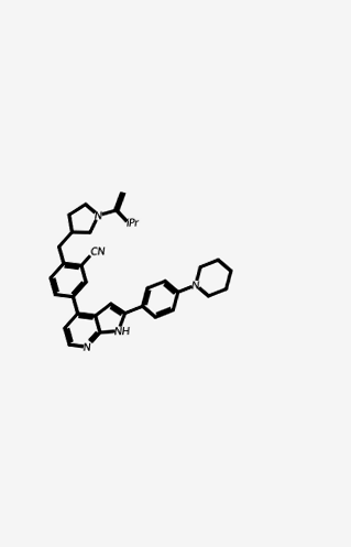 C=C(C(C)C)N1CCC(Cc2ccc(-c3ccnc4[nH]c(-c5ccc(N6CCCCC6)cc5)cc34)cc2C#N)C1